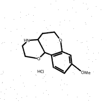 COc1ccc2c(c1)OCCC1NCCOC21.Cl